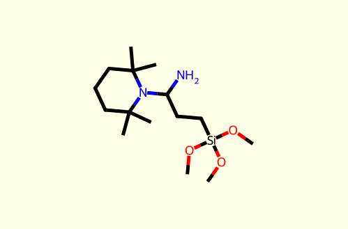 CO[Si](CCC(N)N1C(C)(C)CCCC1(C)C)(OC)OC